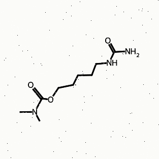 CN(C)C(=O)OC[CH]CCCNC(N)=O